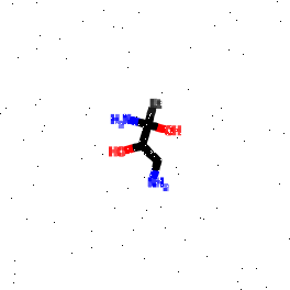 CCC(N)(O)C(O)CN